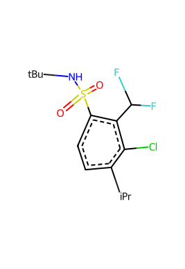 CC(C)c1ccc(S(=O)(=O)NC(C)(C)C)c(C(F)F)c1Cl